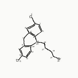 Clc1ccc2c(c1)Cc1cc(Cl)ccc1N2CCCCBr